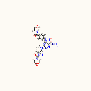 NC(=O)c1nnc(N2CCCC(NC(=O)N3CCOCC3)C2)nc1Nc1ccc(C(=O)N2CCOCC2)cc1